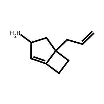 BC1C=C2CCC2(CC=C)C1